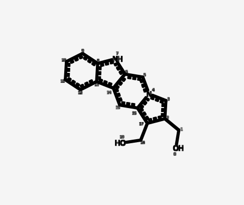 OCc1cn2cc3[nH]c4ccccc4c3cc2c1CO